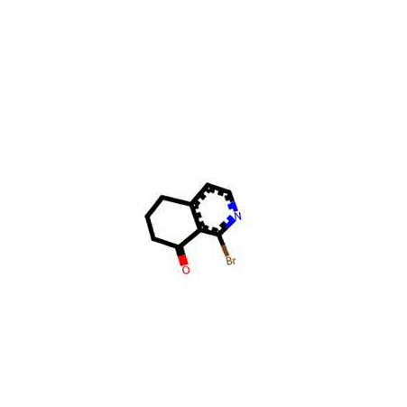 O=C1CCCc2ccnc(Br)c21